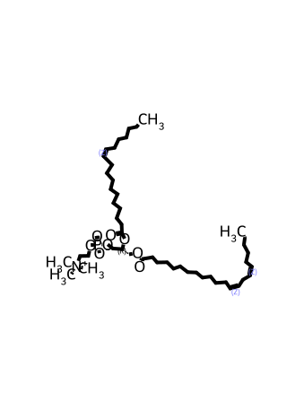 CCCCC/C=C\C/C=C\CCCCCCCCCCCC(=O)OC[C@H](COP(=O)([O-])OCC[N+](C)(C)C)OC(=O)CCCCCCCCC/C=C\CCCCCC